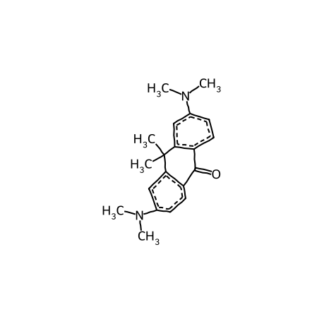 CN(C)c1ccc2c(c1)C(C)(C)c1cc(N(C)C)ccc1C2=O